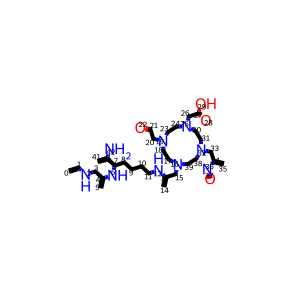 C=CNCC(=C)NC(CCCCNC(=C)CN1CCN(CC=O)CCN(CC(=O)O)CCN(CC(=C)N=O)CC1)C(=C)N